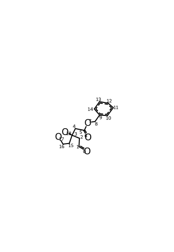 O=CCC1(CC(=O)OCc2ccccc2)CCOO1